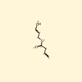 C=CCC(=O)OCC=CO